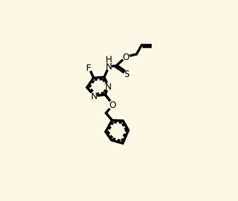 C=CCOC(=S)Nc1nc(OCc2ccccc2)ncc1F